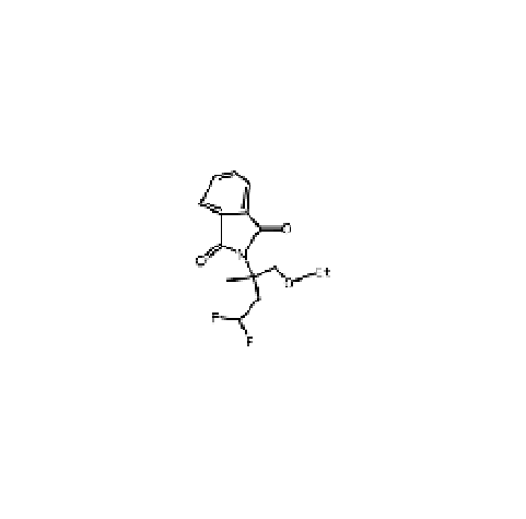 CCOCC(C)(CC(F)F)N1C(=O)c2ccccc2C1=O